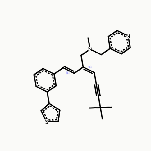 CN(CC(/C=C/c1cccc(-c2ccsc2)c1)=C/C#CC(C)(C)C)Cc1ccncc1